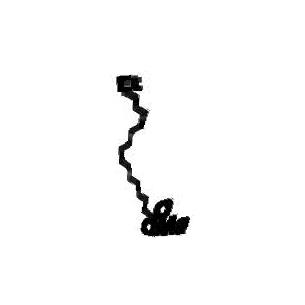 CCC=CC/C=C\CC/C=C\CCCCCCC(=O)OC